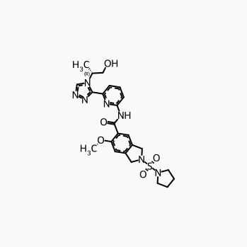 COc1cc2c(cc1C(=O)Nc1cccc(-c3nncn3[C@H](C)CO)n1)CN(S(=O)(=O)N1CCCC1)C2